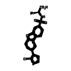 CC(C)[C@H](NS(=O)(=O)c1ccc2c(c1)oc1ccc(-c3ccsc3Cl)cc12)C(=O)O